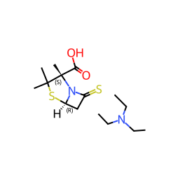 CC1(C)S[C@@H]2CC(=S)N2[C@@]1(C)C(=O)O.CCN(CC)CC